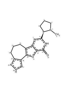 CN1CCC[C@@H]1c1nc2c3c(oc2c(=O)[nH]1)-c1c[nH]nc1CCC3